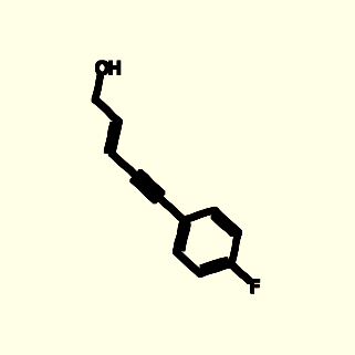 OCC=CC#Cc1ccc(F)cc1